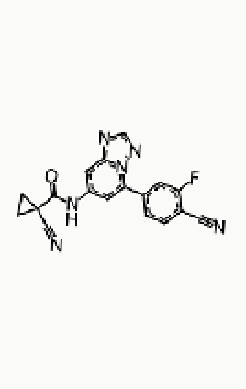 N#Cc1ccc(-c2cc(NC(=O)C3(C#N)CC3)cc3ncnn23)cc1F